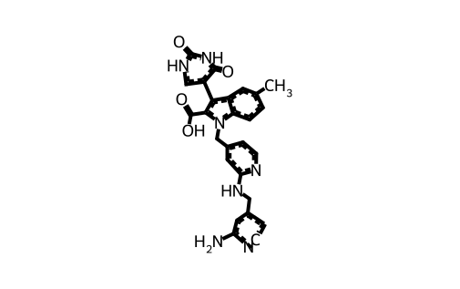 Cc1ccc2c(c1)c(-c1c[nH]c(=O)[nH]c1=O)c(C(=O)O)n2Cc1ccnc(NCc2ccnc(N)c2)c1